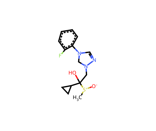 C[S+]([O-])C(O)(CN1CN(c2ccccc2F)C=N1)C1CC1